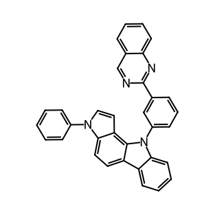 c1ccc(-n2ccc3c2ccc2c4ccccc4n(-c4cccc(-c5ncc6ccccc6n5)c4)c23)cc1